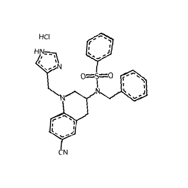 Cl.N#Cc1ccc2c(c1)CC(N(Cc1ccccc1)S(=O)(=O)c1ccccc1)CN2Cc1c[nH]cn1